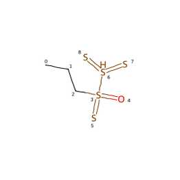 CCCS(=O)(=S)[SH](=S)=S